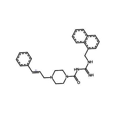 N=C(NCc1cccc2ccccc12)NC(=O)N1CCN(C/C=C/c2ccccc2)CC1